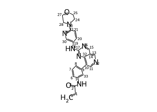 C=CC(=O)Nc1cccc(-c2cncc3cnc(Nc4ccc(N5CCOCC5)nc4)nc23)c1